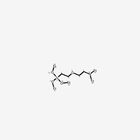 CCO[Si](CCOCCN(CC)CC)(OCC)OCC